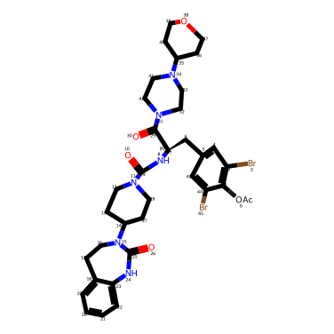 CC(=O)Oc1c(Br)cc(C[C@@H](NC(=O)N2CCC(N3CCc4ccccc4NC3=O)CC2)C(=O)N2CCN(C3CCOCC3)CC2)cc1Br